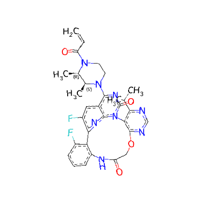 C=CC(=O)N1CCN(c2nc(=O)n3c4nc(c(F)cc24)-c2c(F)cccc2NC(=O)COc2ncnc(C(C)C)c2-3)[C@@H](C)[C@H]1C